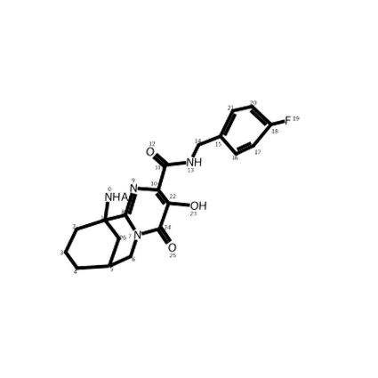 CC(=O)NC12CCCC(Cn3c1nc(C(=O)NCc1ccc(F)cc1)c(O)c3=O)C2